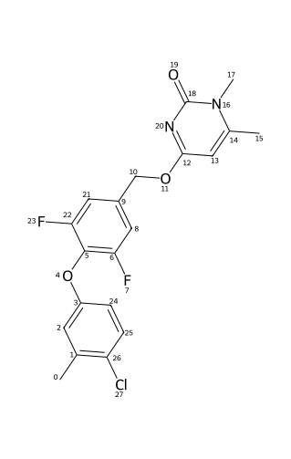 Cc1cc(Oc2c(F)cc(COc3cc(C)n(C)c(=O)n3)cc2F)ccc1Cl